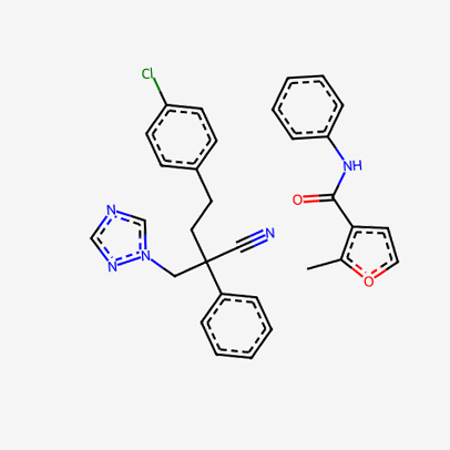 Cc1occc1C(=O)Nc1ccccc1.N#CC(CCc1ccc(Cl)cc1)(Cn1cncn1)c1ccccc1